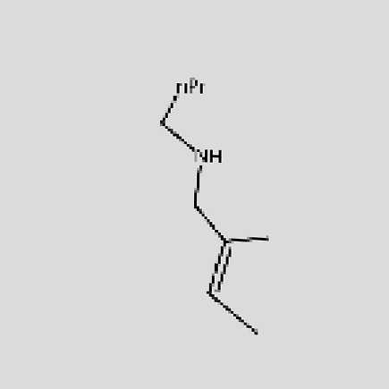 C/C=C(\C)CNCCCC